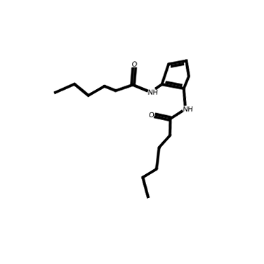 CCCCCC(=O)NC1=C(NC(=O)CCCCC)CC=C1